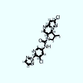 CC1CN(C(=O)Nc2cnc(-n3nccn3)c(Cl)c2)c2cnc3cc(Cl)nn3c21